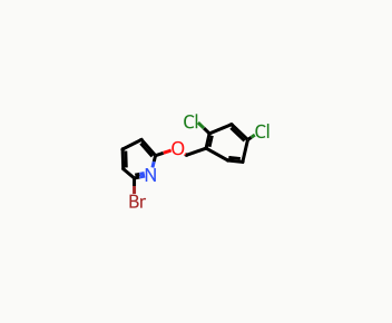 Clc1ccc(COc2cccc(Br)n2)c(Cl)c1